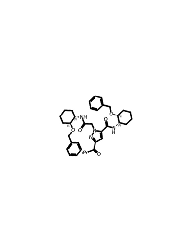 CC(C)C(=O)c1cc(C(=O)N[C@H]2CCCC[C@@H]2OCc2ccccc2)n(CC(=O)N[C@H]2CCCC[C@@H]2OCc2ccccc2)n1